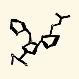 COC(=O)c1cc(-c2cccc(OCC(C)C)c2)n(Cc2ccccn2)n1